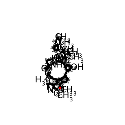 CCn1c(-c2cccnc2[C@H](C)OC)c2c3cc(ccc31)-c1cc(O)cc(c1)C[C@H](NC(=O)[C@H](C(C)C)N(C)C(=O)[C@H]1CC[C@@H](CN(C)C)O1)C(=O)N1CCC[C@H](N1)C(=O)OCC(C)(C)C2